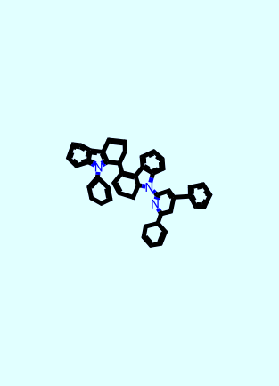 C1=CCC(C2CC(c3ccccc3)=CC(N3c4ccccc4C4=C(C5CC=Cc6c5n(C5=CCCC=C5)c5ccccc65)C=CCC43)=N2)C=C1